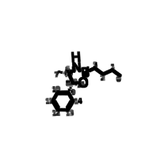 CCCCB1N[C@@H](C)[C@@H](c2ccccc2)O1